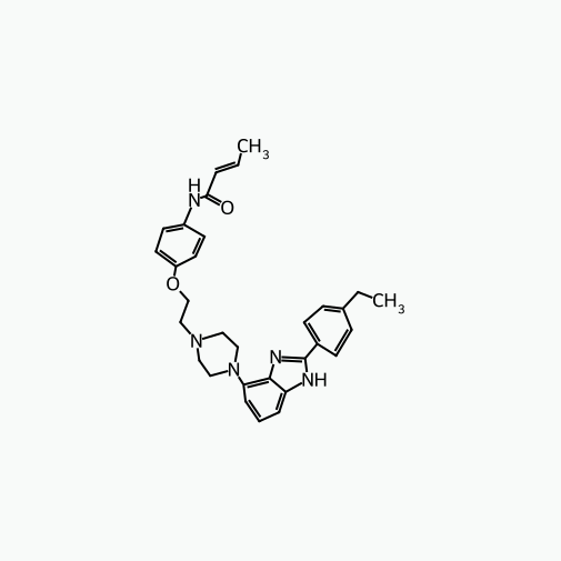 CC=CC(=O)Nc1ccc(OCCN2CCN(c3cccc4[nH]c(-c5ccc(CC)cc5)nc34)CC2)cc1